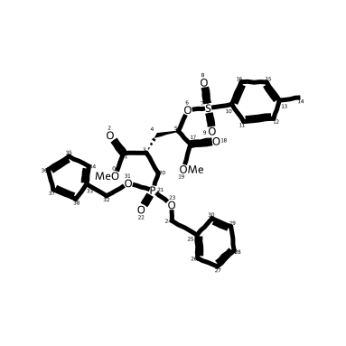 COC(=O)[C@H](C[C@@H](OS(=O)(=O)c1ccc(C)cc1)C(=O)OC)CP(=O)(OCc1ccccc1)OCc1ccccc1